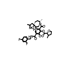 CC1=NO[C@@]2(CC[C@H](C)N3C[C@H]2n2cc(C(=O)NCc4ccc(F)cc4F)c(=O)c(OC(=O)C4OCCC4C)c2C3=O)C1